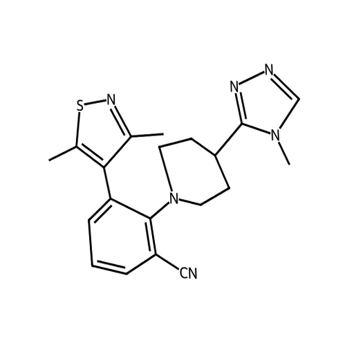 Cc1nsc(C)c1-c1cccc(C#N)c1N1CCC(c2nncn2C)CC1